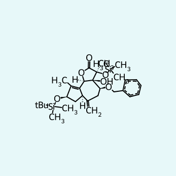 C=C1C[C@H](OCc2ccccc2)[C@]2(O)[C@H](OC(=O)[C@@]2(C)O[Si](C)(C)C)C2=C(C)[C@H](O[Si](C)(C)C(C)(C)C)C[C@H]12